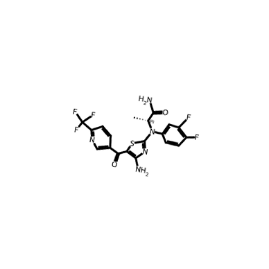 C[C@H](C(N)=O)N(c1ccc(F)c(F)c1)c1nc(N)c(C(=O)c2ccc(C(F)(F)F)nc2)s1